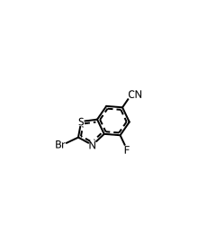 N#Cc1cc(F)c2nc(Br)sc2c1